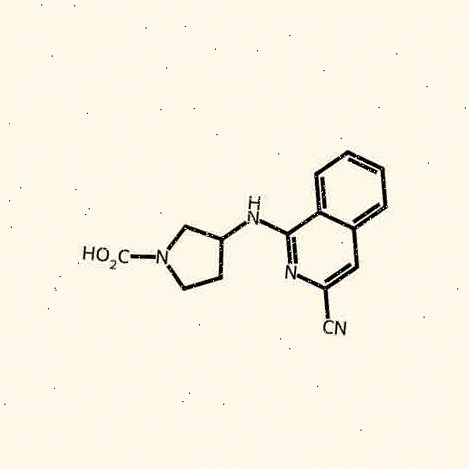 N#Cc1cc2ccccc2c(NC2CCN(C(=O)O)C2)n1